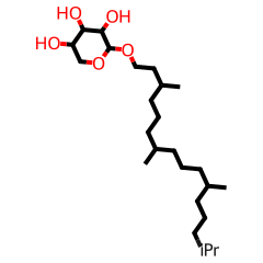 CC(C)CCCC(C)CCCC(C)CCCC(C)CCOC1OCC(O)C(O)C1O